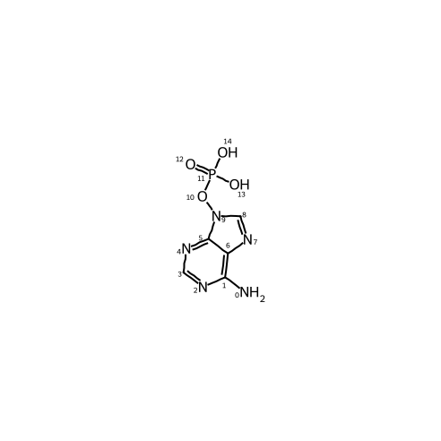 Nc1ncnc2c1ncn2OP(=O)(O)O